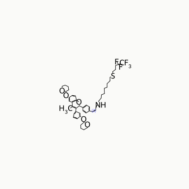 CC1=C(c2cccc(OC3CCCCO3)c2)C(c2ccc(/C=C\CNCCCCCCCCCSCCCC(F)(F)C(F)(F)F)cc2)Oc2ccc(OC3CCCCO3)cc21